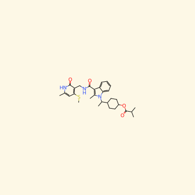 CSc1cc(C)[nH]c(=O)c1CNC(=O)c1c(C)n(C(C)C2CCC(OC(=O)C(C)C)CC2)c2ccccc12